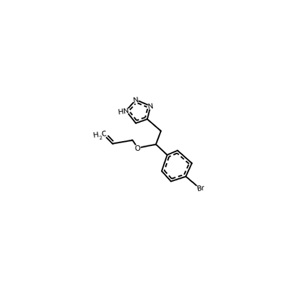 C=CCOC(Cc1c[nH]nn1)c1ccc(Br)cc1